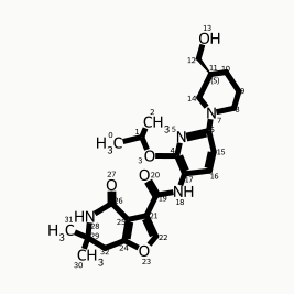 CC(C)Oc1nc(N2CCC[C@H](CO)C2)ccc1NC(=O)c1coc2c1C(=O)NC(C)(C)C2